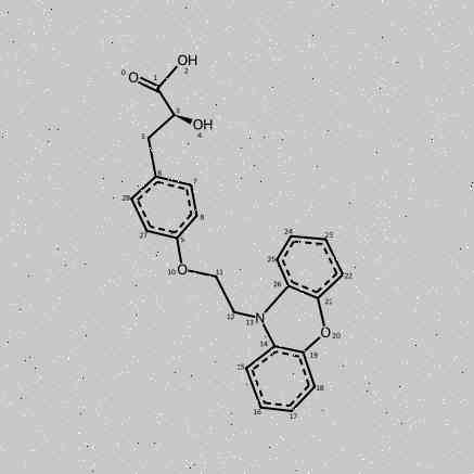 O=C(O)[C@@H](O)Cc1ccc(OCCN2c3ccccc3Oc3ccccc32)cc1